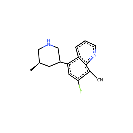 C[C@H]1CNCC(c2cc(F)c(C#N)c3ncccc23)C1